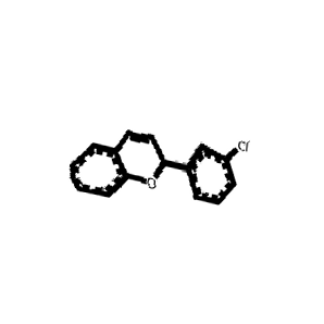 Clc1cccc(C2C=Cc3ccccc3O2)c1